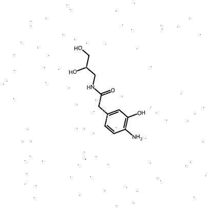 Nc1ccc(CC(=O)NCC(O)CO)cc1O